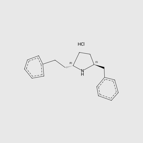 Cl.c1ccc(CC[C@@H]2CC[C@@H](Cc3ccccc3)N2)cc1